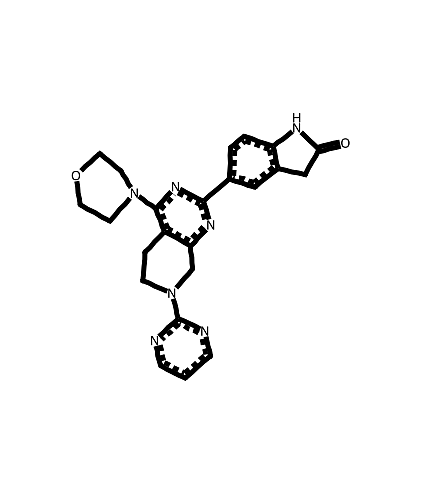 O=C1Cc2cc(-c3nc4c(c(N5CCOCC5)n3)CCN(c3ncccn3)C4)ccc2N1